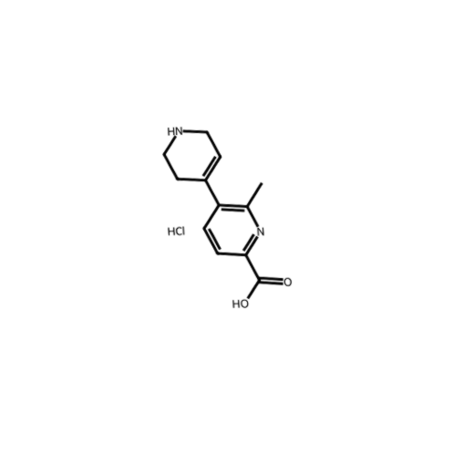 Cc1nc(C(=O)O)ccc1C1=CCNCC1.Cl